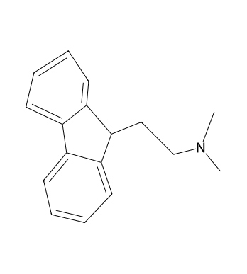 CN(C)CCC1c2ccccc2-c2ccccc21